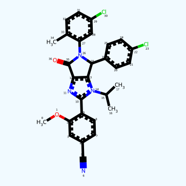 COc1cc(C#N)ccc1-c1nc2c(n1C(C)C)C(c1ccc(Cl)cc1)N(c1cc(Cl)ccc1C)C2=O